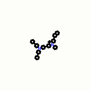 CC1(C)c2cc(-c3ccc(N(c4ccc(-c5ccccc5)cc4)c4ccc(-c5ccccc5)cc4)cc3)ccc2N(c2ccccc2)c2ccc(-c3ccc4ccccc4c3)cc21